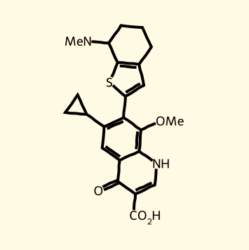 CNC1CCCc2cc(-c3c(C4CC4)cc4c(=O)c(C(=O)O)c[nH]c4c3OC)sc21